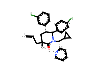 C=CCC1(C)C[C@H](c2cccc(Cl)c2)C(c2ccc(Cl)cc2)N([C@@H](c2ccccn2)C2CC2)C1=O